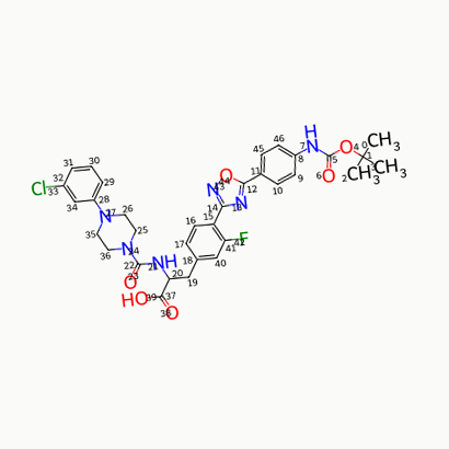 CC(C)(C)OC(=O)Nc1ccc(-c2nc(-c3ccc(CC(NC(=O)N4CCN(c5cccc(Cl)c5)CC4)C(=O)O)cc3F)no2)cc1